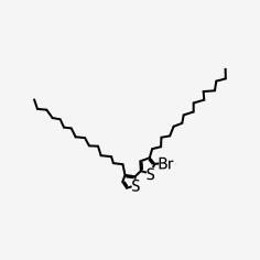 CCCCCCCCCCCCCCCc1cc(-c2sccc2CCCCCCCCCCCCCCC)sc1Br